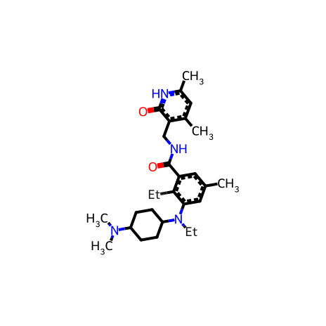 CCc1c(C(=O)NCc2c(C)cc(C)[nH]c2=O)cc(C)cc1N(CC)C1CCC(N(C)C)CC1